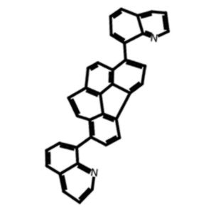 c1cnc2c(-c3ccc4c5c3ccc3ccc6c(-c7cccc8cccnc78)ccc-4c6c35)cccc2c1